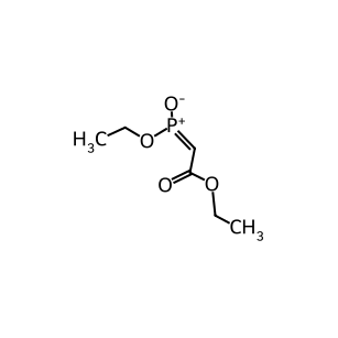 CCOC(=O)C=[P+]([O-])OCC